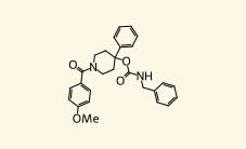 COc1ccc(C(=O)N2CCC(OC(=O)NCc3ccccc3)(c3ccccc3)CC2)cc1